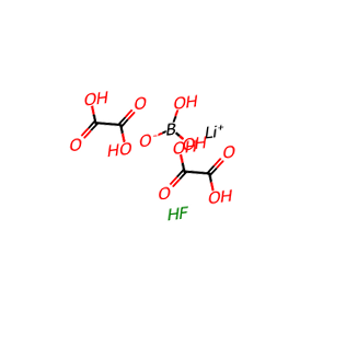 F.O=C(O)C(=O)O.O=C(O)C(=O)O.[Li+].[O-]B(O)O